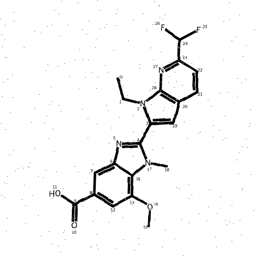 CCn1c(-c2nc3cc(C(=O)O)cc(OC)c3n2C)cc2ccc(C(F)F)nc21